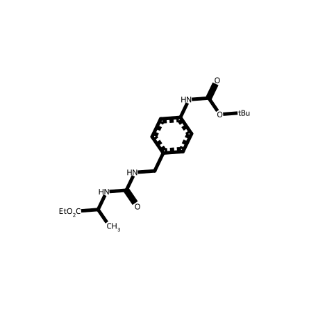 CCOC(=O)C(C)NC(=O)NCc1ccc(NC(=O)OC(C)(C)C)cc1